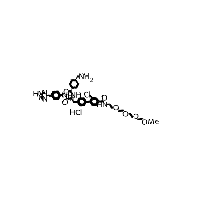 COCCOCCOCCOCCNC(=O)c1ccc(-c2ccc(C[C@H](NC(=O)[C@H]3CC[C@H](CN)CC3)C(=O)Nc3ccc(-c4nn[nH]n4)cc3)cc2)c(Cl)c1.Cl